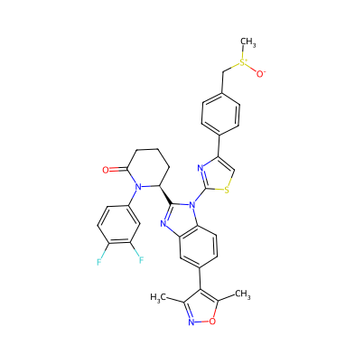 Cc1noc(C)c1-c1ccc2c(c1)nc([C@@H]1CCCC(=O)N1c1ccc(F)c(F)c1)n2-c1nc(-c2ccc(C[S+](C)[O-])cc2)cs1